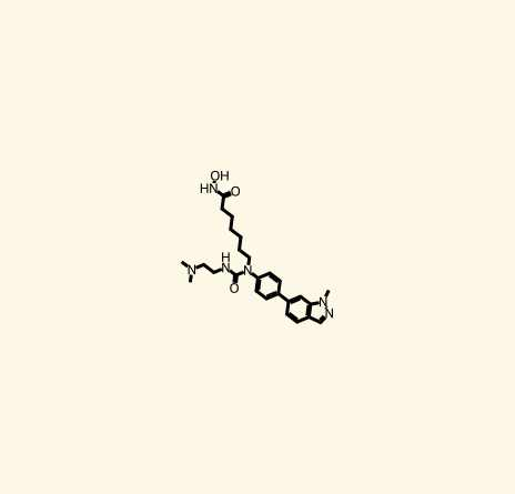 CN(C)CCNC(=O)N(CCCCCCC(=O)NO)c1ccc(-c2ccc3cnn(C)c3c2)cc1